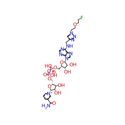 NC(=O)c1ccc[n+]([C@@H]2O[C@H](COP(=O)(O)OP(=O)(O)OC[C@H]3O[C@@H](n4cnc5c(NCc6cn(CCOCCF)nn6)ncnc54)[C@H](O)[C@@H]3O)[C@@H](O)[C@H]2O)c1